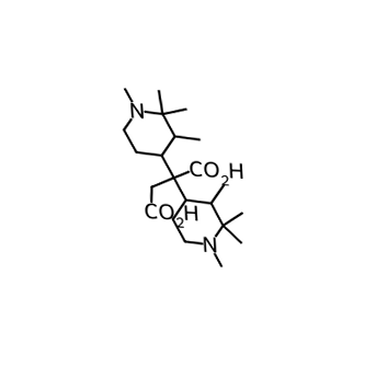 CC1C(C(CC(=O)O)(C(=O)O)C2CCN(C)C(C)(C)C2C)CCN(C)C1(C)C